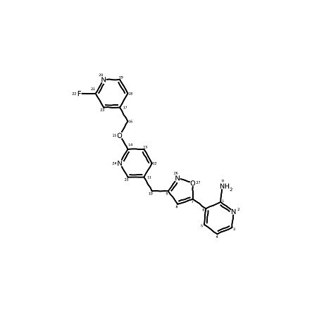 Nc1ncccc1-c1cc(Cc2ccc(OCc3ccnc(F)c3)nc2)no1